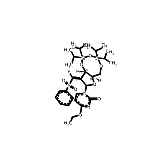 CCOc1ccn(C2O[C@@H]3CO[Si](C(C)C)(C(C)C)O[Si](C(C)C)(C(C)C)O[C@H]3/C2=C(\F)S(=O)(=O)c2ccccc2)c(=O)n1